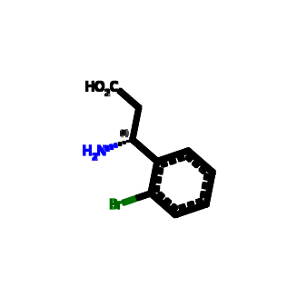 N[C@H](CC(=O)O)c1ccccc1Br